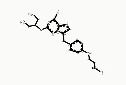 CCC(CC)Oc1nc(N)c2ncc(Cc3ccc(OCCNC)nc3)n2n1